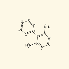 Nc1ccnc(N)c1-c1ccnnc1